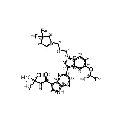 CC(C)(C)NC(=O)c1c[nH]c2ncc(-c3nn(CCCN4CCC(F)(F)C4)c4ccc(OC(F)F)cc34)nc12